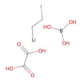 O=C(O)C(=O)O.OB(O)O.[Li][CH2]CI